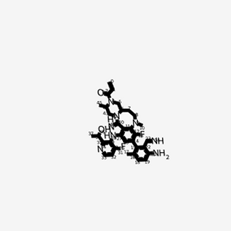 C=CC(=O)N1CC2CCN(C)c3c(F)c(-c4c(C)ccc(N)c4C=N)c(F)c(Nc4c(C)ccnc4C(C)O)c3C(=N)N2CC1C